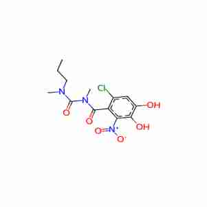 CCCN(C)C(=O)N(C)C(=O)c1c(Cl)cc(O)c(O)c1[N+](=O)[O-]